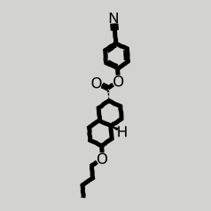 CCCCOC1CCC2C[C@H](C(=O)Oc3ccc(C#N)cc3)CC[C@@H]2C1